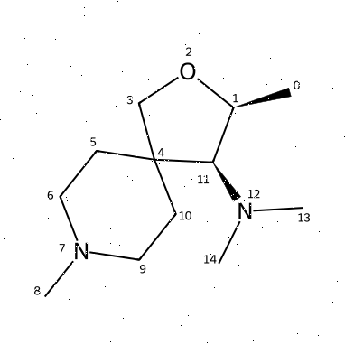 C[C@@H]1OCC2(CCN(C)CC2)[C@@H]1N(C)C